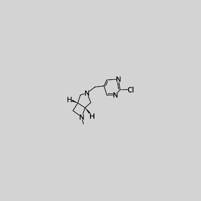 CN1C[C@@H]2CN(Cc3cnc(Cl)nc3)C[C@@H]21